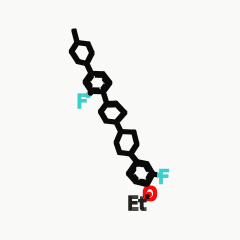 CCOc1ccc(C2CCC(C3CC=C(c4ccc(C5CCC(C)CC5)cc4F)CC3)CC2)cc1F